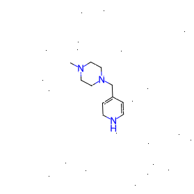 CN1CCN(CC2=CCNC=C2)CC1